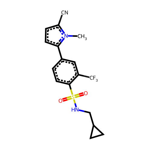 Cn1c(C#N)ccc1-c1ccc(S(=O)(=O)NCC2CC2)c(C(F)(F)F)c1